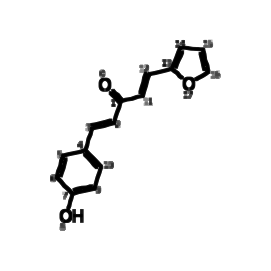 O=C(C=Cc1ccc(O)cc1)C=Cc1ccco1